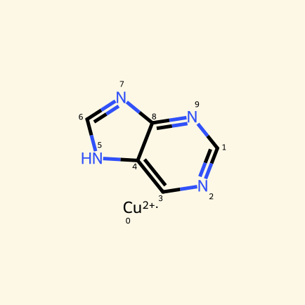 [Cu+2].c1ncc2[nH]cnc2n1